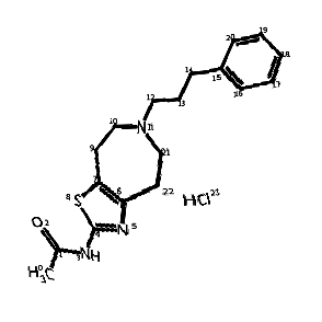 CC(=O)Nc1nc2c(s1)CCN(CCCc1ccccc1)CC2.Cl